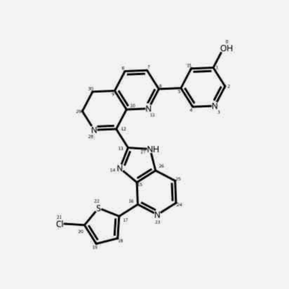 Oc1cncc(-c2ccc3c(n2)C(c2nc4c(-c5ccc(Cl)s5)nccc4[nH]2)=NCC3)c1